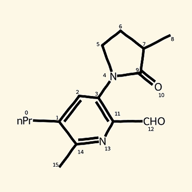 CCCc1cc(N2CCC(C)C2=O)c(C=O)nc1C